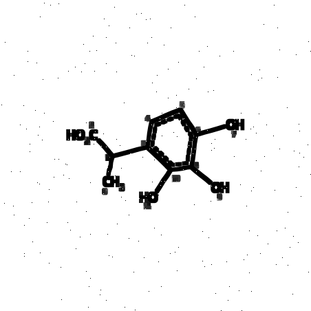 CC(C(=O)O)c1ccc(O)c(O)c1O